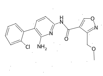 COCc1nocc1C(=O)Nc1ccc(-c2ccccc2Cl)c(N)n1